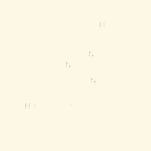 CSc1c(C)ccnc1Nc1cccc(C)n1